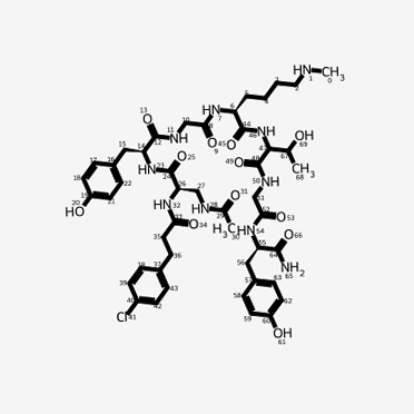 CNCCCC[C@H](NC(=O)CNC(=O)[C@H](Cc1ccc(O)cc1)NC(=O)[C@@H](CNC(C)=O)NC(=O)CCc1ccc(Cl)cc1)C(=O)NC(C(=O)NCC(=O)N[C@H](Cc1ccc(O)cc1)C(N)=O)C(C)O